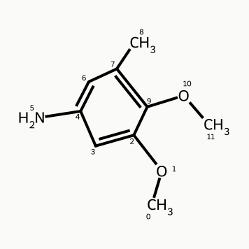 COc1cc(N)cc(C)c1OC